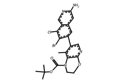 Cc1c(-c2cc3cc(N)ncc3c(Cl)c2Br)cnc2c1N(C(=O)OC(C)(C)C)CCO2